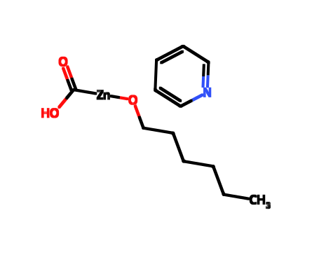 CCCCCC[O][Zn][C](=O)O.c1ccncc1